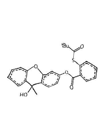 CC(C)(C)C(=O)Sc1ccccc1C(=O)Oc1ccc2c(c1)Oc1ccccc1C2(C)O